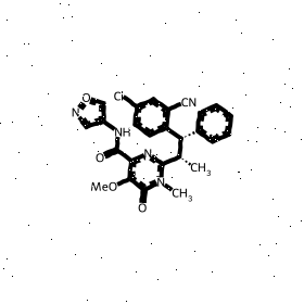 COc1c(C(=O)Nc2cnoc2)nc([C@@H](C)[C@@H](c2ccccc2)c2ccc(Cl)cc2C#N)n(C)c1=O